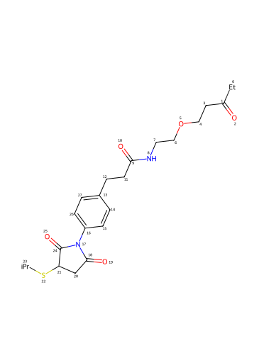 CCC(=O)CCOCCNC(=O)CCc1ccc(N2C(=O)CC(SC(C)C)C2=O)cc1